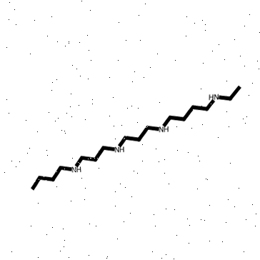 CCCCNCCCNCCCNCCCCNCC